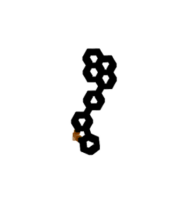 c1cc2ccc3ccc(-c4ccc(-c5ccc6sc7ccccc7c6c5)cc4)c4ccc(c1)c2c34